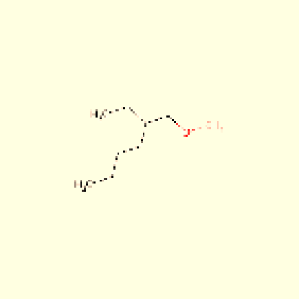 BOCC(CC)CCCC